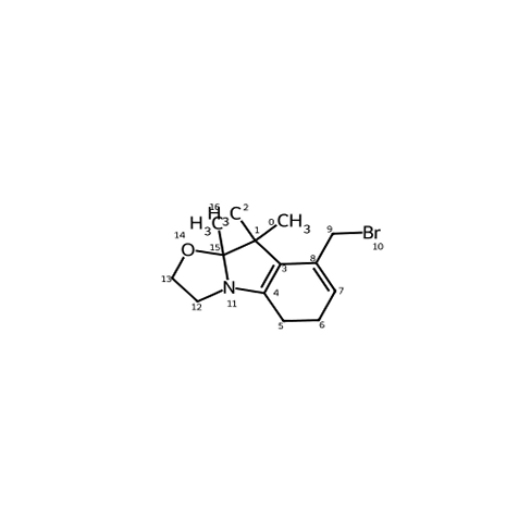 CC1(C)C2=C(CCC=C2CBr)N2CCOC21C